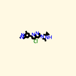 Cc1cc(-c2cc(Cl)c3cc(N4CC(C)NC5(CC5)C4)cnc3n2)cc2cn(C)nc12